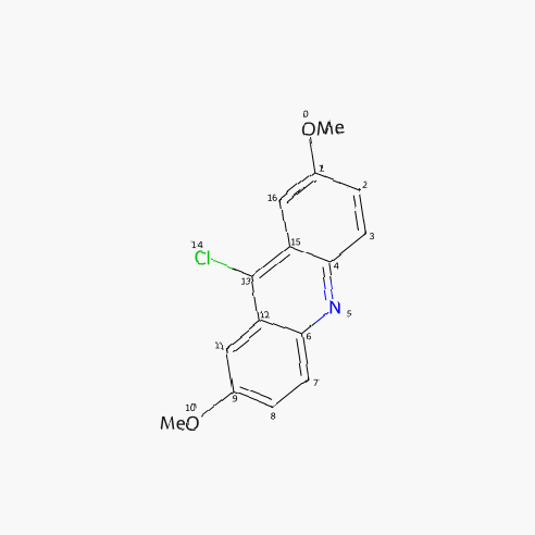 COc1ccc2nc3ccc(OC)cc3c(Cl)c2c1